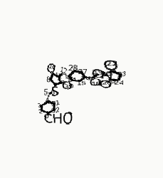 O=C[C@H]1CC[C@H](CSC2CC(=O)C(C[C@H]3CC[C@H](C(=O)ON4C(=O)CCC4=O)CC3)C2=O)CC1